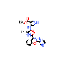 CC(C)(C)OC(=O)C1CNCC1NC(=O)C(NC(=O)C(NC(=O)c1cnccn1)C1CCCCC1)C(C)(C)C